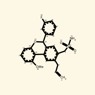 C=CCc1cc2c(cc1CS(N)(=O)=O)C(c1cccc(F)c1)Oc1cccc(OC)c1-2